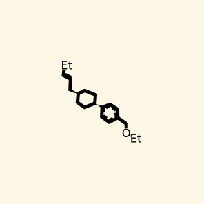 CCC=CC[C@H]1CC[C@H](c2ccc(COCC)cc2)CC1